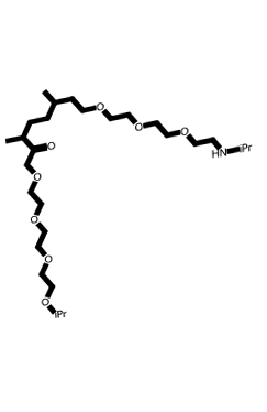 CC(CCOCCOCCOCCNC(C)C)CCC(C)C(=O)COCCOCCOCCOC(C)C